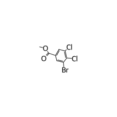 COC(=O)c1cc(Cl)c(Cl)c(Br)c1